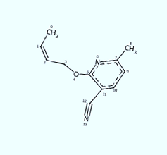 C/C=C\COc1nc(C)ccc1C#N